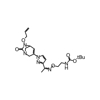 C=CCON1C(=O)N2CC(n3ccc(/C(C)=N\OCCNC(=O)OC(C)(C)C)n3)=CC1C2